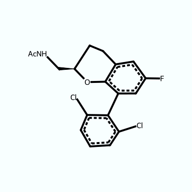 CC(=O)NC[C@H]1CCc2cc(F)cc(-c3c(Cl)cccc3Cl)c2O1